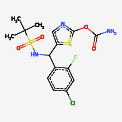 CC(C)(C)S(=O)(=O)NC(c1cnc(OC(N)=O)s1)c1ccc(Cl)cc1F